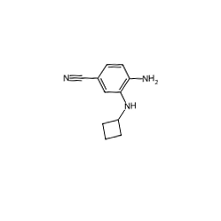 N#Cc1ccc(N)c(NC2CCC2)c1